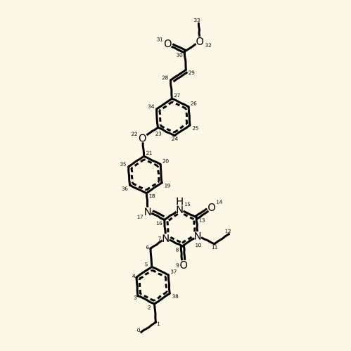 CCc1ccc(Cn2c(=O)n(CC)c(=O)[nH]/c2=N\c2ccc(Oc3cccc(/C=C/C(=O)OC)c3)cc2)cc1